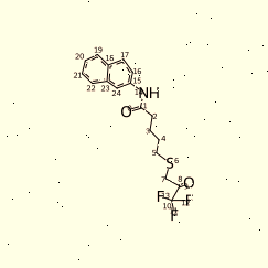 O=C(CCCCSCC(=O)C(F)(F)F)Nc1ccc2ccccc2c1